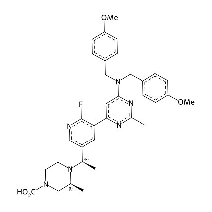 COc1ccc(CN(Cc2ccc(OC)cc2)c2cc(-c3cc([C@@H](C)N4CCN(C(=O)O)C[C@@H]4C)cnc3F)nc(C)n2)cc1